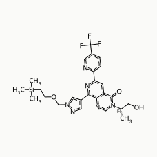 C[C@@H](CO)n1cnc2c(-c3cnn(COCC[Si](C)(C)C)c3)nc(-c3ccc(C(F)(F)F)cn3)cc2c1=O